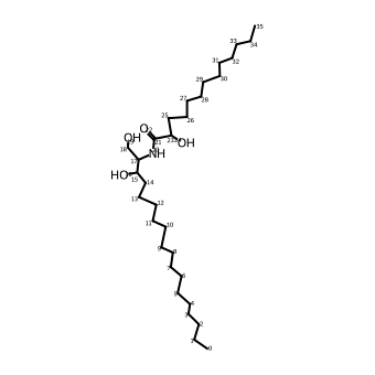 CCCCCCCCCCCCCCCC(O)C(CO)NC(=O)C(O)CCCCCCCCCCC